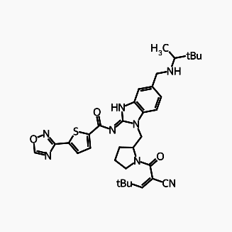 CC(NCc1ccc2c(c1)[nH]c(=NC(=O)c1ccc(-c3ncon3)s1)n2CC1CCCN1C(=O)C(C#N)=CC(C)(C)C)C(C)(C)C